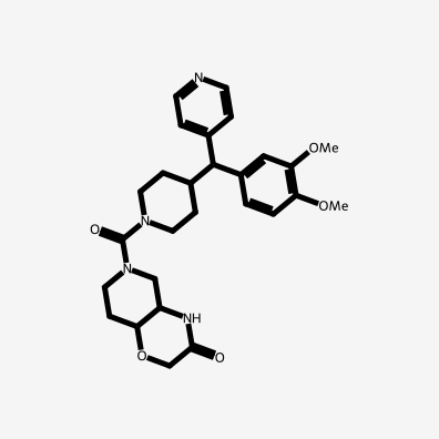 COc1ccc(C(c2ccncc2)C2CCN(C(=O)N3CCC4OCC(=O)NC4C3)CC2)cc1OC